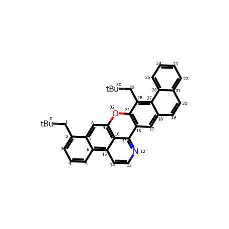 CC(C)(C)Cc1cccc2c1cc1c3c(nccc32)-c2cc3ccc4ccccc4c3c(CC(C)(C)C)c2O1